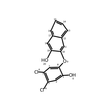 Oc1cc(Cl)c(Cl)cc1Oc1cc2ccccc2cc1O